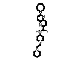 O=C(NC1CCN(CCN2CCCCC2)CC1)c1ccc2nc(N3CCCCCC3)ccc2n1